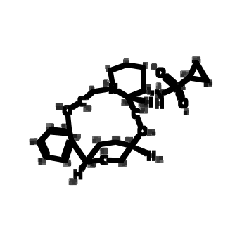 O=S(=O)(N[C@H]1CCCN2CCOc3ccccc3[C@H]3CC[C@H](CC3)OC[C@@H]12)C1CC1